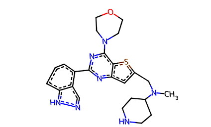 CN(Cc1cc2nc(-c3cccc4[nH]ncc34)nc(N3CCOCC3)c2s1)C1CCNCC1